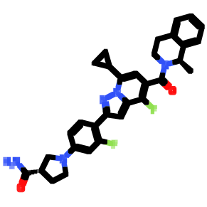 C[C@@H]1c2ccccc2CCN1C(=O)c1cc(C2CC2)n2nc(-c3ccc(N4CC[C@H](C(N)=O)C4)cc3F)cc2c1F